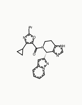 CC(C)c1nc(C2CC2)c(C(=O)N2CCc3[nH]cnc3[C@@H]2c2cc3ccccn3n2)o1